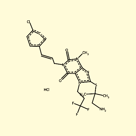 Cl.Cn1c(=O)n(CC=Cc2ccc(Cl)cc2)c(=O)c2c1nc(SC(C)(C)CN)n2CCC(F)(F)F